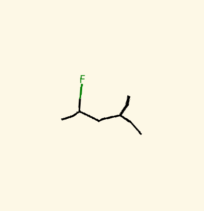 C[C](F)CC(C)C